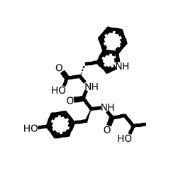 CC(O)CC(=O)N[C@@H](Cc1ccc(O)cc1)C(=O)N[C@@H](Cc1c[nH]c2ccccc12)C(=O)O